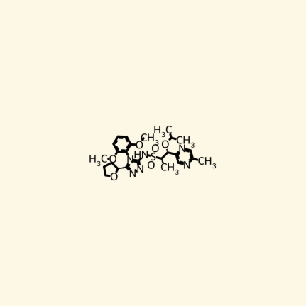 COc1cccc(OC)c1-n1c(NS(=O)(=O)[C@H](C)[C@H](OC(C)C)c2cnc(C)cn2)nnc1[C@@H]1CCCO1